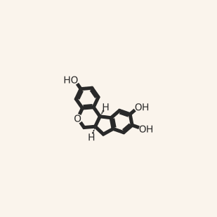 Oc1ccc2c(c1)OC[C@@H]1Cc3cc(O)c(O)cc3[C@H]21